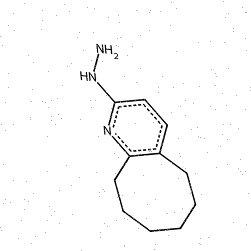 NNc1ccc2c(n1)CCCCCC2